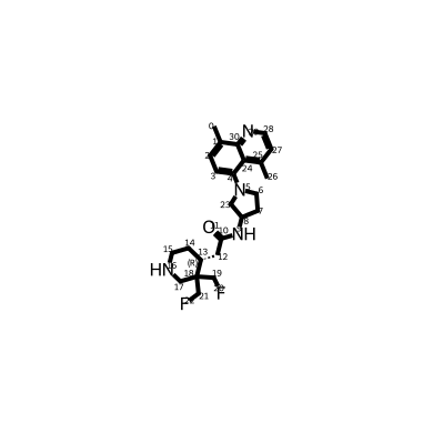 Cc1ccc(N2CCC(NC(=O)C[C@H]3CCNCC3(CF)CF)C2)c2c(C)ccnc12